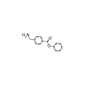 NCc1ccc(C(=O)Oc2ccccc2)cc1